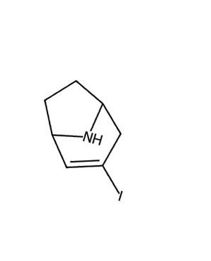 IC1=CC2CCC(C1)N2